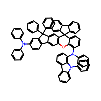 c1ccc(N(c2ccccc2)c2ccc3c(c2)C(c2ccccc2)(c2ccccc2)c2cc4c(cc2-3)Oc2c(N(c3ccccc3)c3cccc5c6ccccc6n(-c6ccccc6)c35)cccc2C42c3ccccc3-c3ccccc32)cc1